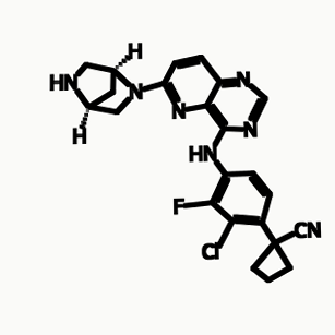 N#CC1(c2ccc(Nc3ncnc4ccc(N5C[C@@H]6C[C@H]5CN6)nc34)c(F)c2Cl)CCC1